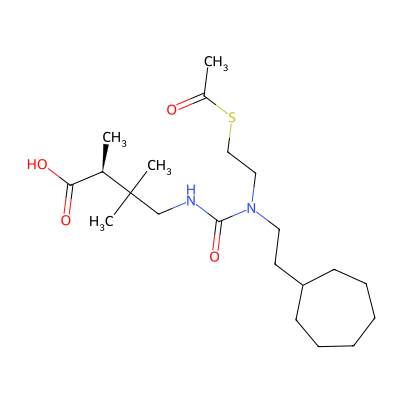 CC(=O)SCCN(CCC1CCCCCC1)C(=O)NCC(C)(C)[C@H](C)C(=O)O